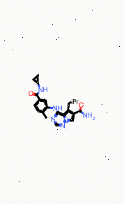 Cc1ccc(C(=O)NC2CC2)cc1Nc1ncnn2cc(C(N)=O)c(CC(C)C)c12